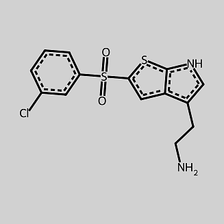 NCCc1c[nH]c2sc(S(=O)(=O)c3cccc(Cl)c3)cc12